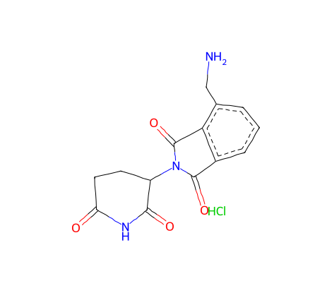 Cl.NCc1cccc2c1C(=O)N(C1CCC(=O)NC1=O)C2=O